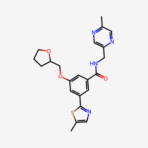 Cc1cnc(CNC(=O)c2cc(OCC3CCCO3)cc(-c3ncc(C)s3)c2)cn1